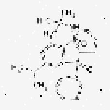 CC(C)c1ccc(C(=O)NC(C)(C)C)c(P(=O)(c2ccccc2)c2ccccc2)c1